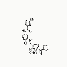 CN(C=O)c1nc(Nc2ccccc2)ncc1CN(C)c1cc(NC(=O)c2csc(C(C)(C)C)n2)cnc1Cl